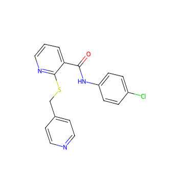 O=C(Nc1ccc(Cl)cc1)c1cccnc1SCc1ccncc1